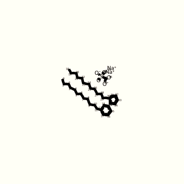 CCCCCCCCCCCCc1ccccc1.CCCCCCCCCCCCc1ccccc1.O=C([O-])S(=O)(=O)[O-].[Na+].[Na+]